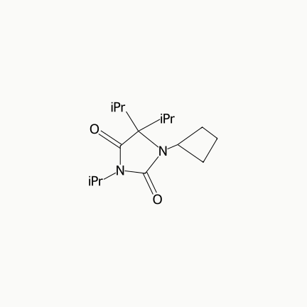 CC(C)N1C(=O)N(C2CCC2)C(C(C)C)(C(C)C)C1=O